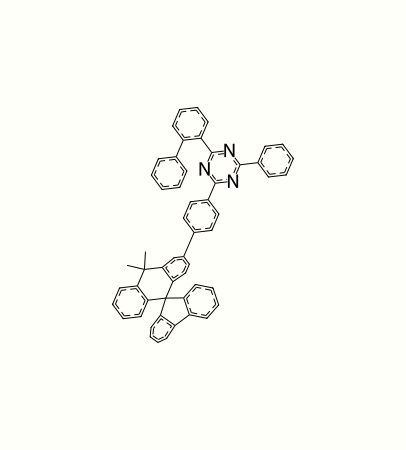 CC1(C)c2ccccc2C2(c3ccccc3-c3ccccc32)c2ccc(-c3ccc(-c4nc(-c5ccccc5)nc(-c5ccccc5-c5ccccc5)n4)cc3)cc21